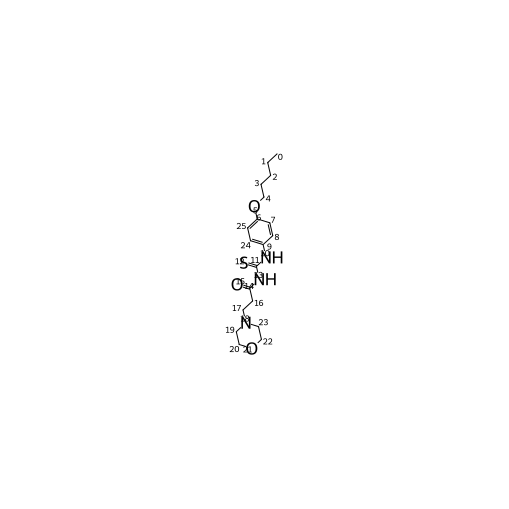 CCCCCOc1ccc(NC(=S)NC(=O)CCN2CCOCC2)cc1